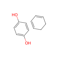 C1=CCCC=C1.Oc1ccc(O)cc1